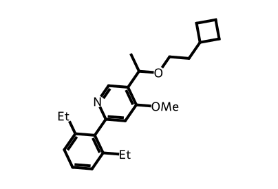 CCc1cccc(CC)c1-c1cc(OC)c(C(C)OCCC2CCC2)cn1